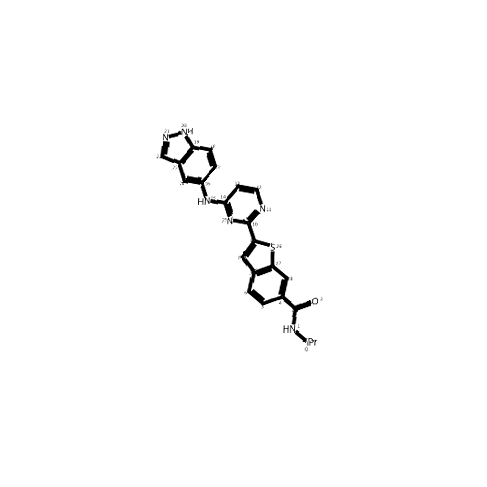 CC(C)NC(=O)c1ccc2cc(-c3nccc(Nc4ccc5[nH]ncc5c4)n3)sc2c1